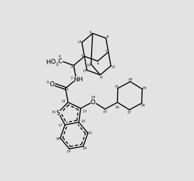 O=C(NC(C(=O)O)C12CC3CC(CC(C3)C1)C2)c1sc2ccccc2c1OCC1CCCCC1